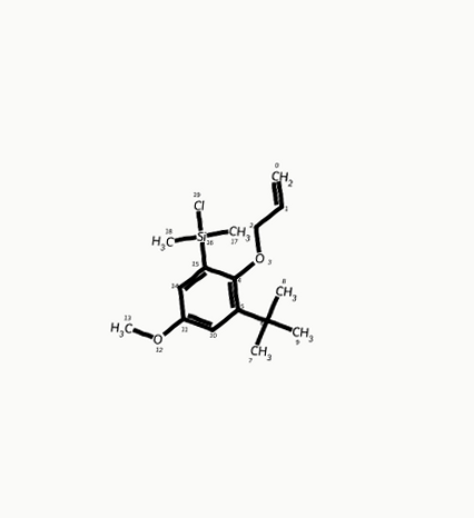 C=CCOc1c(C(C)(C)C)cc(OC)cc1[Si](C)(C)Cl